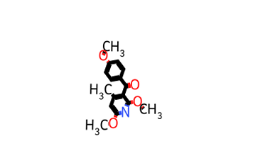 COc1ccc(C(=O)c2c(C)cc(OC)nc2OC)cc1